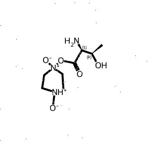 C[C@@H](O)[C@H](N)C(=O)O[N+]1([O-])CC[NH+]([O-])CC1